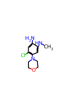 CNc1cc(N2CCOCC2)c(Cl)cc1N